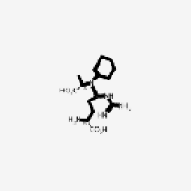 C[C@@H](C(=O)O)N(C1CCCCC1)C(CC[C@@H](N)C(=O)O)NC(=N)N